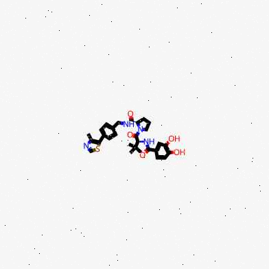 Cc1ncsc1-c1ccc(CNC(=O)[C@@H]2CCCN2C(=O)[C@@H](NC(=O)c2ccc(O)c(O)c2)C(C)(C)C)cc1